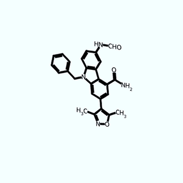 Cc1noc(C)c1-c1cc(C(N)=O)c2c3cc(NC=O)ccc3n(Cc3ccccc3)c2c1